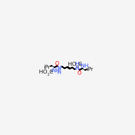 CC(C)C[C@H](NC(=O)O)C(=O)NCCC=CCCNC(=O)[C@H](CC(C)C)NC(=O)O